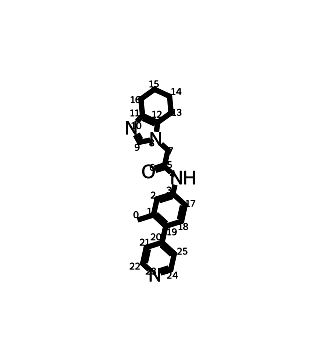 Cc1cc(NC(=O)Cn2cnc3c2CCCC3)ccc1-c1ccncc1